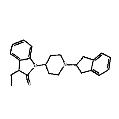 CCC1C(=O)N(C2CCN(C3Cc4ccccc4C3)CC2)c2ccccc21